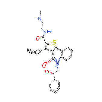 COc1c(C(=O)NCCN(C)C)sc2c1c(=O)n(CC(=O)c1ccccc1)c1ccccc21